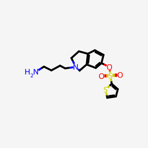 NCCCCN1CCc2ccc(OS(=O)(=O)c3cccs3)cc2C1